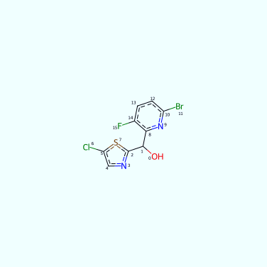 OC(c1ncc(Cl)s1)c1nc(Br)ccc1F